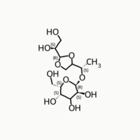 C[C@H](O[C@@H]1O[C@@H](CO)[C@@H](O)C(O)[C@@H]1O)C1CO[C@@H]([C@@H](O)CO)O1